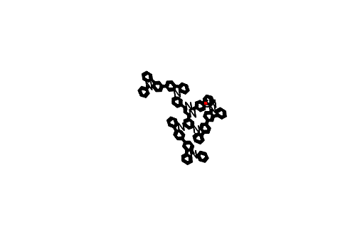 N#Cc1ccc(-c2nc(-c3cccc(-n4c5ccccc5c5ccc(-c6ccc7c(c6)c6ccccc6n7-c6ccccc6)cc54)c3)cc(-c3cc(-n4c5ccccc5c5ccc(-c6ccc7c(c6)c6ccccc6n7-c6ccccc6)cc54)cc(-n4c5ccccc5c5ccc(-c6ccc7c(c6)c6ccccc6n7-c6ccccc6)cc54)c3)n2)cc1